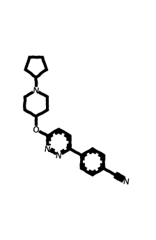 N#Cc1ccc(-c2ccc(OC3CCN(C4CCCC4)CC3)nn2)cc1